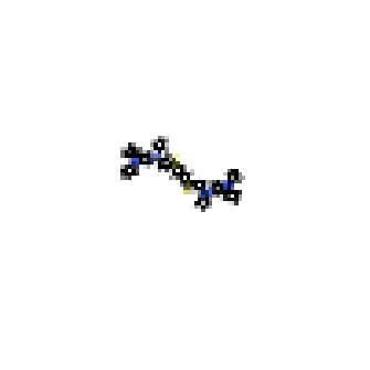 c1ccc(N(c2ccc3c(c2)sc2cc4cc5c(cc4cc23)sc2cc(N(c3ccccc3)c3ccc4c(c3)c3ccccc3n4-c3ccccc3)ccc25)c2ccc3c(c2)c2ccccc2n3-c2ccccc2)cc1